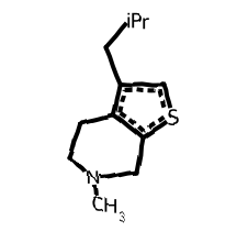 CC(C)Cc1csc2c1CCN(C)C2